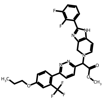 CCCOc1ccc(-c2ccc(C(C(=O)OC)N3C=Cc4[nH]c(-c5cccc(F)c5F)nc4C3)nn2)c(C(F)(F)F)c1